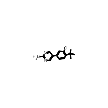 CC(C)(C)c1ccc(-c2cnc(N)nc2)cc1Cl